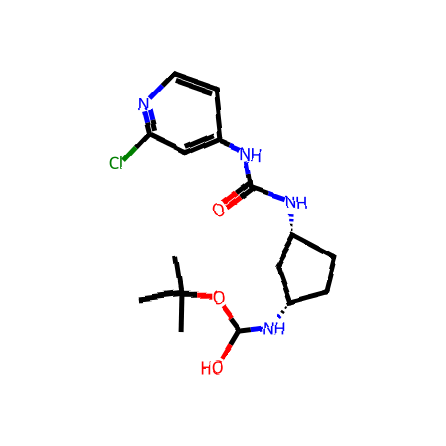 CC(C)(C)OC(O)N[C@H]1CC[C@@H](NC(=O)Nc2ccnc(Cl)c2)C1